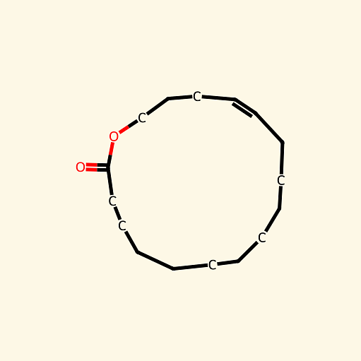 O=C1CCCCCCCCCC/C=C\CCCO1